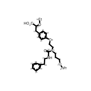 CCCOCCCN(CCOc1ccc(CC(OCC)C(=O)O)cc1)C(=O)NCCc1ccccc1